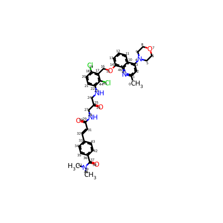 Cc1cc(N2CCOCC2)c2cccc(OCc3c(Cl)ccc(NCC(=O)CNC(=O)C=Cc4ccc(C(=O)N(C)C)cc4)c3Cl)c2n1